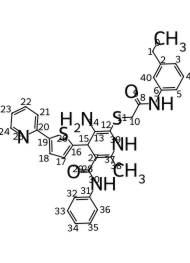 CCc1cccc(NC(=O)CSC2=C(N)C(c3ccc(-c4ccccn4)s3)C(C(=O)Nc3ccccc3)=C(C)N2)c1